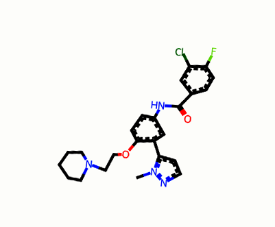 Cn1nccc1-c1cc(NC(=O)c2ccc(F)c(Cl)c2)ccc1OCCN1CCCCC1